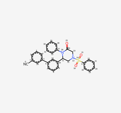 N#Cc1cccc(-c2cccc(C3CN(S(=O)(=O)c4ccccc4)CC(=O)N3c3ccccc3)c2)c1